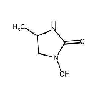 CC1CN(O)C(=O)N1